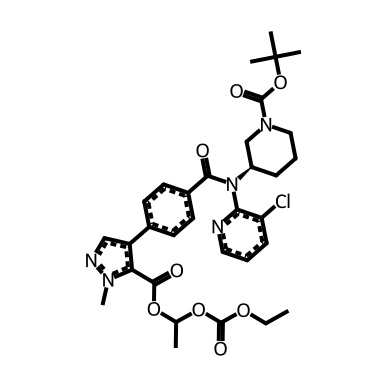 CCOC(=O)OC(C)OC(=O)c1c(-c2ccc(C(=O)N(c3ncccc3Cl)[C@@H]3CCCN(C(=O)OC(C)(C)C)C3)cc2)cnn1C